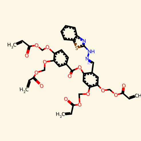 C=CC(=O)OCOc1ccc(C(=O)Oc2cc(OCOC(=O)C=C)c(OCOC(=O)C=C)cc2/C=N/Nc2nc3ccccc3s2)cc1OCOC(=O)C=C